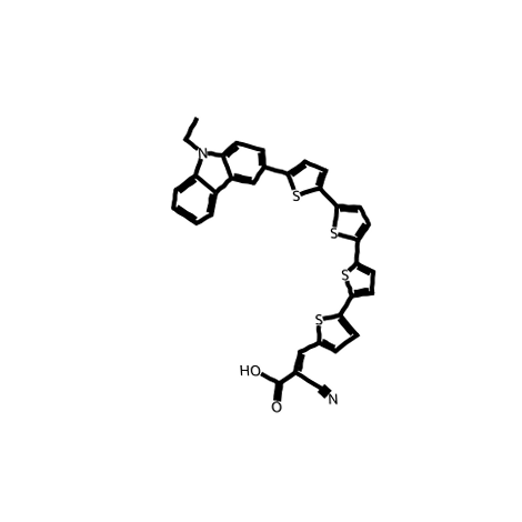 CCn1c2ccccc2c2cc(-c3ccc(-c4ccc(-c5ccc(-c6ccc(/C=C(\C#N)C(=O)O)s6)s5)s4)s3)ccc21